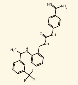 CC(Nc1ccccc1CNC(=O)Nc1ccc(C(=N)N)cc1)c1cccc(C(F)(F)F)c1